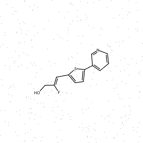 OC/C(F)=C/c1ccc(-c2cccnc2)s1